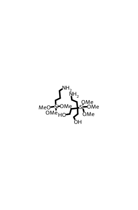 CO[Si](CCCN)(OC)OC.CO[Si](OC)(OC)C(CCN)(CCO)CCO